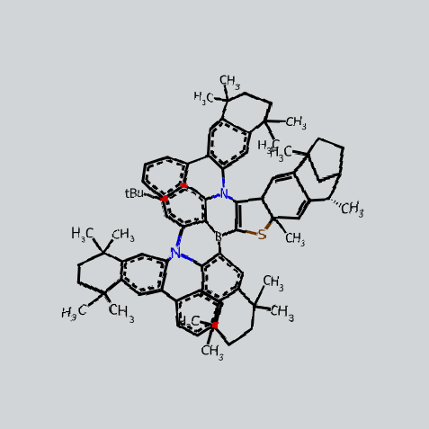 C[C@@H]1C2=CC3(C)SC4=C(C3C=C2C2(C)CCC1C2)N(c1cc2c(cc1-c1ccccc1)C(C)(C)CCC2(C)C)c1cc(C(C)(C)C)cc2c1B4c1cc3c(cc1N2c1cc2c(cc1-c1ccccc1)C(C)(C)CCC2(C)C)C(C)(C)CCC3(C)C